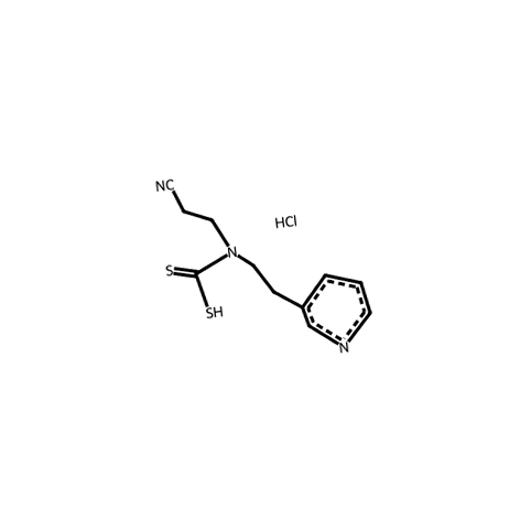 Cl.N#CCCN(CCc1cccnc1)C(=S)S